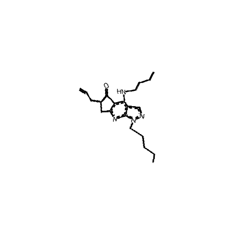 C=CCC1Cc2nc3c(cnn3CCCCC)c(NCCCC)c2C1=O